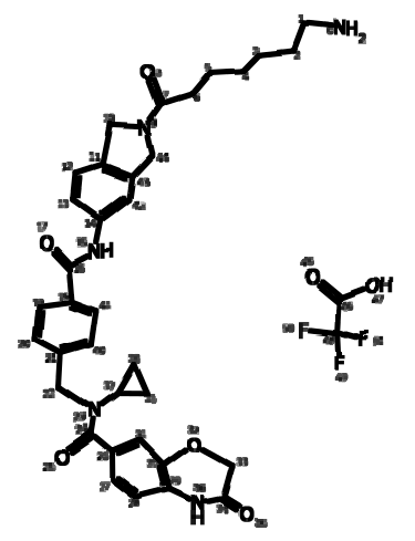 NCCCCCCC(=O)N1Cc2ccc(NC(=O)c3ccc(CN(C(=O)c4ccc5c(c4)OCC(=O)N5)C4CC4)cc3)cc2C1.O=C(O)C(F)(F)F